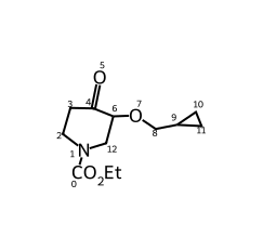 CCOC(=O)N1CCC(=O)C(OCC2CC2)C1